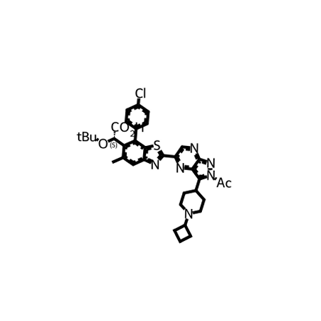 CC(=O)n1nc2ncc(-c3nc4cc(C)c([C@H](OC(C)(C)C)C(=O)O)c(-c5ccc(Cl)cc5)c4s3)nc2c1C1CCN(C2CCC2)CC1